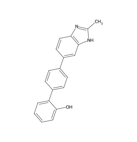 Cc1nc2ccc(-c3ccc(-c4ccccc4O)cc3)cc2[nH]1